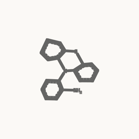 Nc1ccccc1N1c2ccccc2Sc2ccccc21